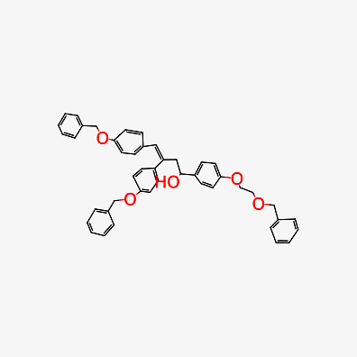 OC(CC(=Cc1ccc(OCc2ccccc2)cc1)c1ccc(OCc2ccccc2)cc1)c1ccc(OCCOCc2ccccc2)cc1